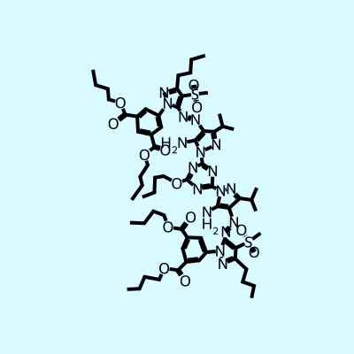 CCCCOC(=O)c1cc(C(=O)OCCCC)cc(-n2nc(CCCC)c(S(C)(=O)=O)c2N=Nc2c(C(C)C)nn(-c3nc(OCCCC)nc(-n4nc(C(C)C)c(N=Nc5c(S(C)(=O)=O)c(CCCC)nn5-c5cc(C(=O)OCCCC)cc(C(=O)OCCCC)c5)c4N)n3)c2N)c1